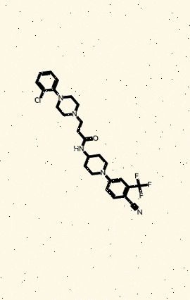 N#Cc1ccc(N2CCC(NC(=O)CCN3CCN(c4ccccc4Cl)CC3)CC2)cc1C(F)(F)F